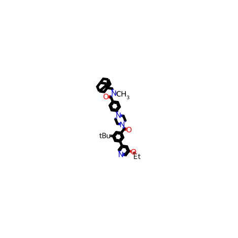 CCOc1cncc(-c2cc(C(=O)N3CCN(c4ccc(C(=O)N(C)CC56CC7CC(CC(C7)C5)C6)cc4)CC3)cc(C(C)(C)C)c2)c1